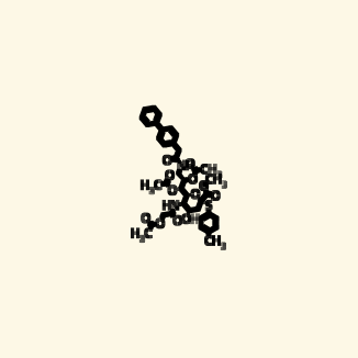 COC(=O)[C@@]1(Sc2ccc(C)cc2)C[C@H](O)[C@@H](NC(=O)COC(C)=O)[C@H]([C@H](OC(C)=O)[C@@H](CNC(=O)Cc2ccc(-c3ccccc3)cc2)OC(C)=O)O1